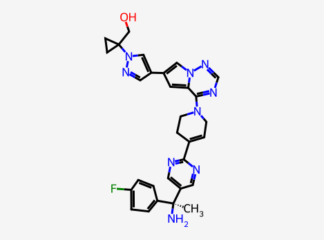 C[C@](N)(c1ccc(F)cc1)c1cnc(C2=CCN(c3ncnn4cc(-c5cnn(C6(CO)CC6)c5)cc34)CC2)nc1